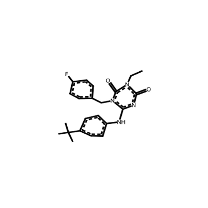 CCn1c(=O)nc(Nc2ccc(C(C)(C)C)cc2)n(Cc2ccc(F)cc2)c1=O